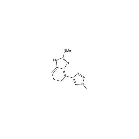 CNc1nc2c([nH]1)=CCCC=2c1cnn(C)c1